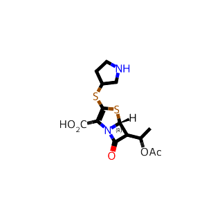 CC(=O)OC(C)C1C(=O)N2C(C(=O)O)=C(SC3CCNC3)S[C@H]12